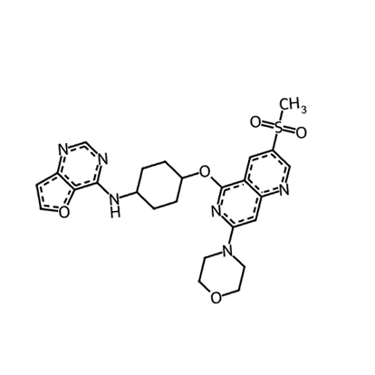 CS(=O)(=O)c1cnc2cc(N3CCOCC3)nc(OC3CCC(Nc4ncnc5ccoc45)CC3)c2c1